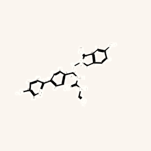 O=CNC(=O)N[C@@H](CN1Cc2ccc(F)cc2C1=O)c1ccc(-c2ccc(F)cn2)cc1